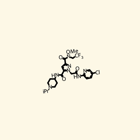 CON(CC(F)(F)F)C(=O)c1cc(C(=O)NC2CCN(C(C)C)CC2)n(CC(=O)Nc2ccc(Cl)cn2)n1